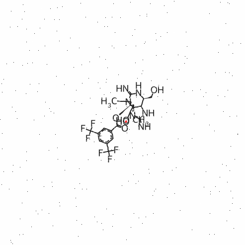 CC1[C@H](OC(=O)c2cc(C(F)(F)F)cc(C(F)(F)F)c2)[C@](C)(O)C23C(NC(=N)N2O)[C@H](CO)NC(=N)N13